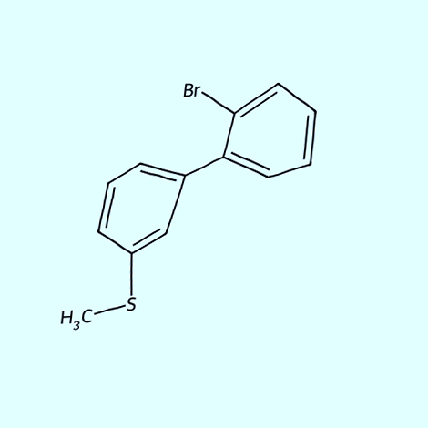 CSc1cccc(-c2ccccc2Br)c1